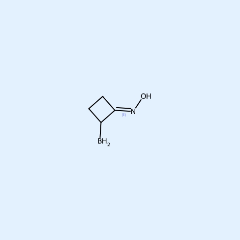 BC1CC/C1=N\O